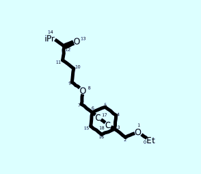 CCOCC12CCC(COCCCC(=O)C(C)C)(CC1)CC2